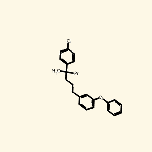 CC(C)C(C)(CCCc1cccc(Oc2ccccc2)c1)c1ccc(Cl)cc1